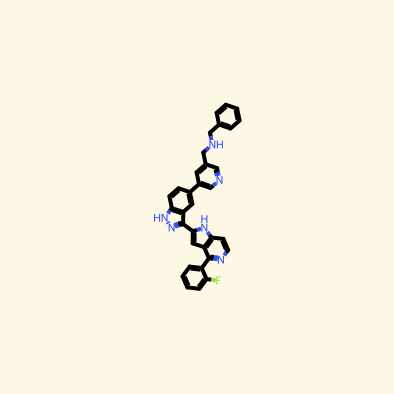 Fc1ccccc1-c1nccc2[nH]c(-c3n[nH]c4ccc(-c5cncc(CNCc6ccccc6)c5)cc34)cc12